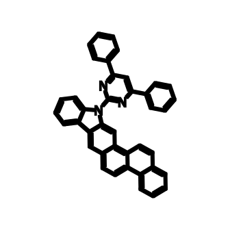 c1ccc(-c2cc(-c3ccccc3)nc(-n3c4ccccc4c4cc5ccc6c7ccccc7ccc6c5cc43)n2)cc1